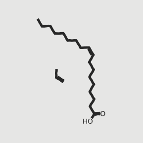 C=CC.CCCCCCCC/C=C\CCCCCCCC(=O)O